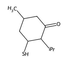 CC1CC(=O)C(C(C)C)C(S)C1